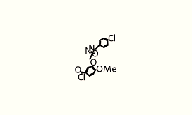 COc1ccc(C(=O)Cl)cc1OCc1nnc(-c2ccc(Cl)cc2)o1